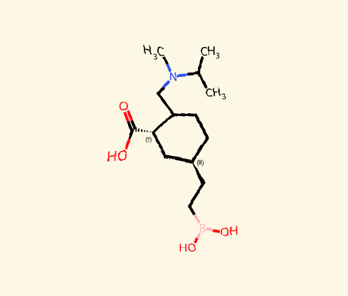 CC(C)N(C)CC1CC[C@@H](CCB(O)O)C[C@@H]1C(=O)O